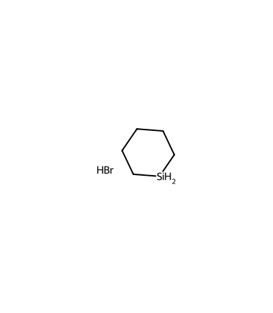 Br.C1CC[SiH2]CC1